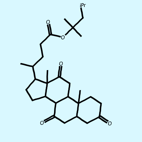 CC(C)CC(C)(C)OC(=O)CCC(C)C1CCC2C3C(=O)CC4CC(=O)CCC4(C)C3CC(=O)C12C